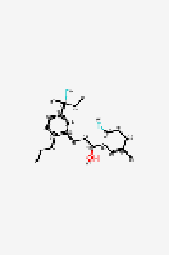 CCCc1ccc(C(C)(F)CC)cc1CC[C@H](O)[C@H]1C=C(C)CCC1F